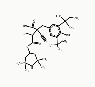 CCC(C)(C)c1cc(CC(C#N)(C(=O)O)C(C)C(=O)OC2CC(C)(C)NC(C)(C)C2)cc(C(C)(C)C)c1O